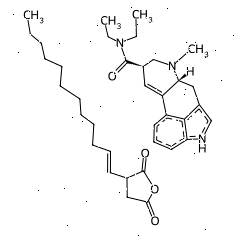 CCCCCCCCCCC=CC1CC(=O)OC1=O.CCN(CC)C(=O)[C@@H]1C=C2c3cccc4[nH]cc(c34)C[C@H]2N(C)C1